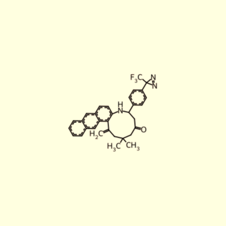 C=C1CC(C)(C)CC(=O)CC(c2ccc(C3(C(F)(F)F)N=N3)cc2)Nc2ccc3cc4ccccc4cc3c21